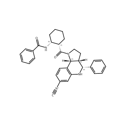 [C-]#[N+]c1ccc2c(c1)N[C@@H](c1ccccc1)[C@H]1CCN(C(=O)[C@H]3CCCC[C@H]3NC(=O)c3ccccc3)[C@@H]21